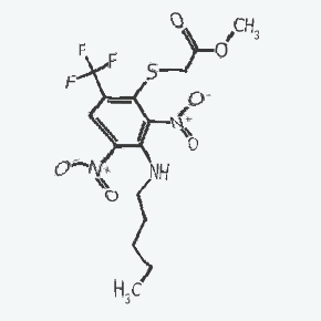 CCCCCNc1c([N+](=O)[O-])cc(C(F)(F)F)c(SCC(=O)OC)c1[N+](=O)[O-]